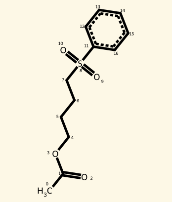 CC(=O)OCCCCS(=O)(=O)c1ccccc1